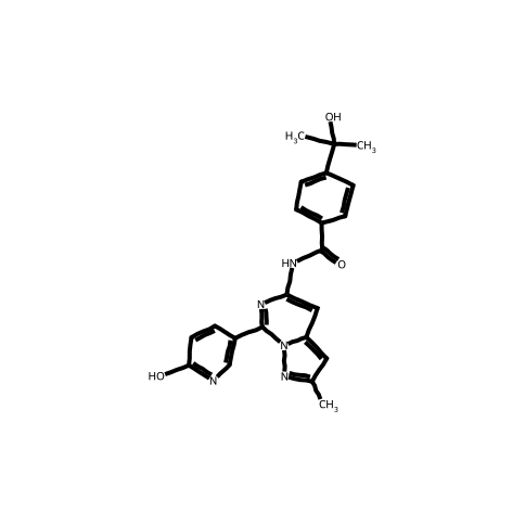 Cc1cc2cc(NC(=O)c3ccc(C(C)(C)O)cc3)nc(-c3ccc(O)nc3)n2n1